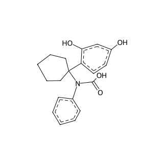 O=C(O)N(c1ccccc1)C1(c2ccc(O)cc2O)CCCCC1